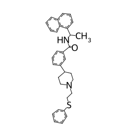 CC(NC(=O)c1cccc(C2CCN(CCSc3ccccc3)CC2)c1)c1cccc2ccccc12